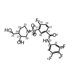 O=C(Nc1cc(F)c(F)c(F)c1)c1ccc(F)c(S(=O)(=O)N2CCC(CO)C(O)C2)c1